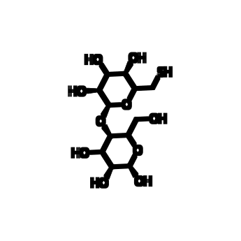 OCC1O[C@@H](O)[C@@H](O)C(O)[C@H]1O[C@@H]1OC(CS)[C@H](O)C(O)[C@@H]1O